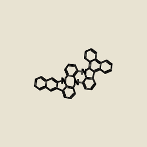 c1ccc2cc3c(cc2c1)c1cccc2c1n3c1cccc3c1-n2c1cccc2c4c5ccccc5c5ccccc5c4n3c21